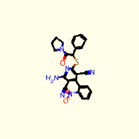 N#Cc1c(N)nc(SC(C(=O)N2CCCC2)c2ccccc2)c(C#N)c1-c1ccccc1[N+](=O)[O-]